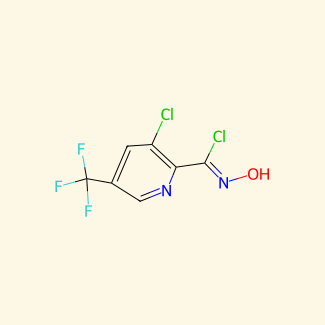 ON=C(Cl)c1ncc(C(F)(F)F)cc1Cl